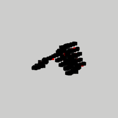 CCCCCCOCc1cnc([C@H]2CC[C@H](CCCC)CC2)nc1.CCCCCOCc1cnc([C@H]2CC[C@H](CCCC)CC2)nc1.CCCCOCc1cnc([C@H]2CC[C@H](CCCC)CC2)nc1.CCCC[C@H]1CC[C@H](c2ncc(COC)cn2)CC1.CCCC[C@H]1CC[C@H](c2ncc(COCC)cn2)CC1.CCCC[C@H]1CC[C@H](c2ncc(COCCC)cn2)CC1